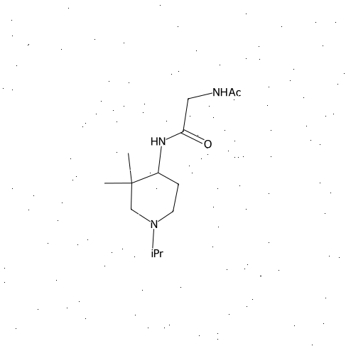 CC(=O)NCC(=O)NC1CCN(C(C)C)CC1(C)C